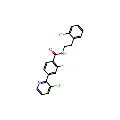 O=C(NCCc1ccccc1Cl)c1ccc(-c2ncccc2Cl)cc1F